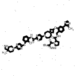 CN[C@H](C(=O)N1CCCC1C(=O)NCc1ccc(-c2scnc2C)cc1OC1CC2(CCCN(c3cnc(C(=O)Nc4cccc(Sc5cnc(N6CCC(C)(CN)CC6)cn5)c4Cl)nc3)CC2)C1)C(C)(C)C